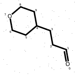 O=CCCC1CCOCC1